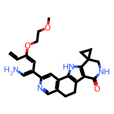 C=C/C(=C\C(=C/N)c1cc2c(cn1)CCc1c-2[nH]c2c1C(=O)NCC21CC1)OCCOC